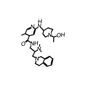 CC1C=NC(NC2CCN(C(C)O)CC2)=CC1C(=O)NCC(CN1CCc2ccccc2C1)N(C)C